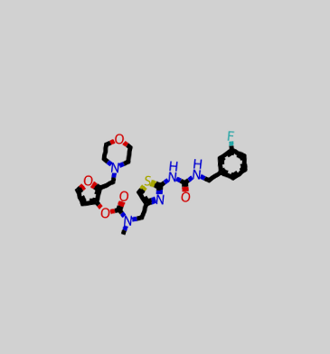 CN(Cc1csc(NC(=O)NCc2cccc(F)c2)n1)C(=O)Oc1ccoc1CN1CCOCC1